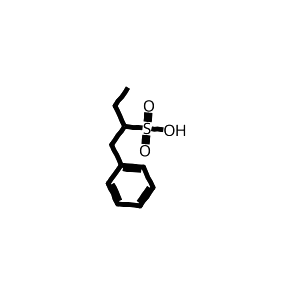 CCC(Cc1ccccc1)S(=O)(=O)O